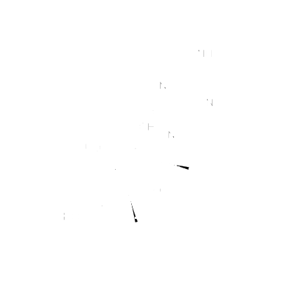 C=C1N=C(N)N=C(C)N1[C@]1(C)O[C@](C)(C(C)(C)O)C(C)(O)C1(C)O